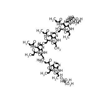 C=CC(=O)Nc1ncnc(NC(=O)C=C)c1NC(=O)C=C.C=CC(=O)Nc1ncnc(NC(=O)C=C)c1NC(=O)C=C.C=CC(=O)Nc1ncnc(NC(=O)C=C)c1NC(=O)C=C.C=CC(=O)Nc1ncnc(NC(=O)C=C)c1NC(=O)C=C.O=S(=O)(O)O.O=S(=O)(O)O.O=S(=O)(O)O.O=S(=O)(O)O.O=S(=O)(O)O